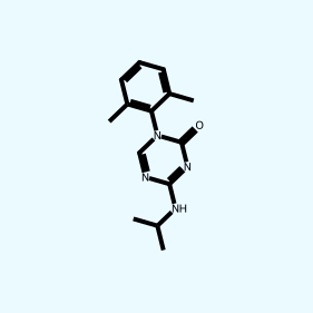 Cc1cccc(C)c1-n1cnc(NC(C)C)nc1=O